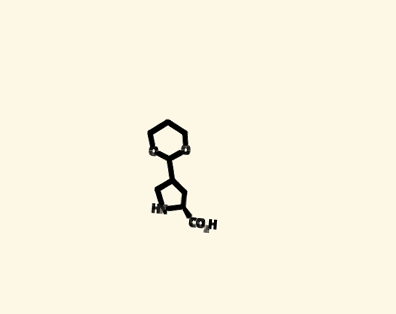 O=C(O)[C@@H]1CC(C2OCCCO2)CN1